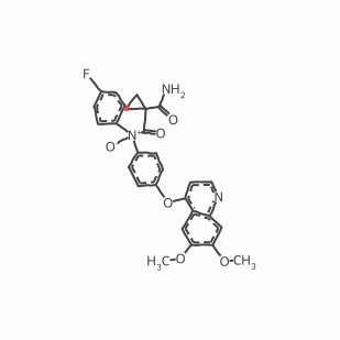 COc1cc2nccc(Oc3ccc([N+]([O-])(C(=O)C4(C(N)=O)CC4)c4ccc(F)cc4)cc3)c2cc1OC